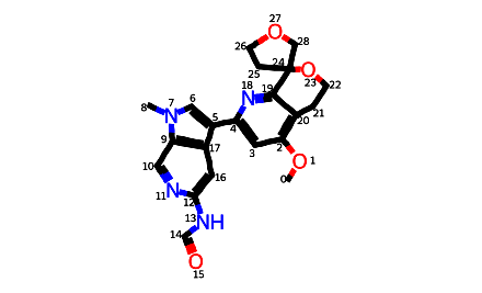 COc1cc(-c2cn(C)c3cnc(NC=O)cc23)nc2c1CCOC21CCOC1